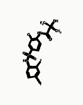 C[C@@](O)(C(=O)Nc1ccc(S(=O)(=O)Nc2ccc(I)cc2F)cc1Cl)C(F)(F)F